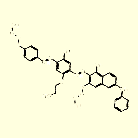 Cc1cc(/N=N/c2c(SOOO)cc3cc(Nc4ccccc4)ccc3c2O)c(OCCO)cc1/N=N/c1ccc(SOOO)cc1